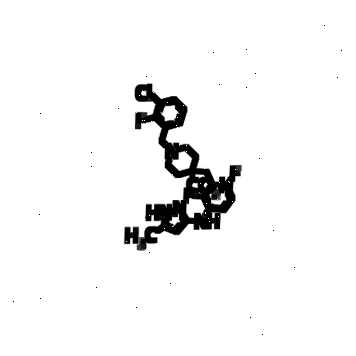 Cc1cc(Nc2ccc(F)c(CC3(C(=O)O)CCN(Cc4cccc(Cl)c4F)CC3)c2F)n[nH]1